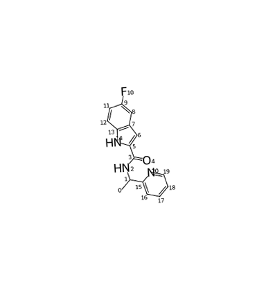 CC(NC(=O)c1cc2cc(F)ccc2[nH]1)c1ccccn1